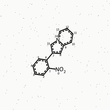 O=[N+]([O-])c1ccccc1-c1cc2ccccn2c1